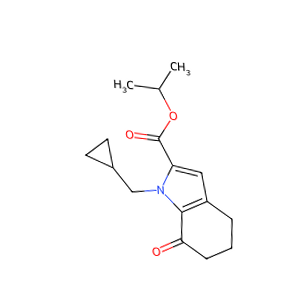 CC(C)OC(=O)c1cc2c(n1CC1CC1)C(=O)CCC2